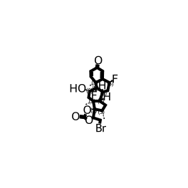 CC(=O)O[C@@]1(C(=O)CBr)[C@@H](C)C[C@H]2[C@@H]3C[C@H](F)C4=CC(=O)C=C[C@]4(C)[C@@]3(F)[C@@H](O)C[C@@]21C